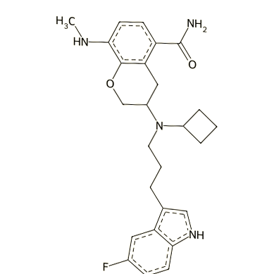 CNc1ccc(C(N)=O)c2c1OCC(N(CCCc1c[nH]c3ccc(F)cc13)C1CCC1)C2